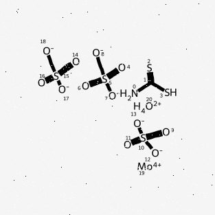 NC(=S)S.O=S(=O)([O-])[O-].O=S(=O)([O-])[O-].O=S(=O)([O-])[O-].[Mo+4].[OH4+2]